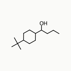 CCCC(O)C1CCC(C(C)(C)C)CC1